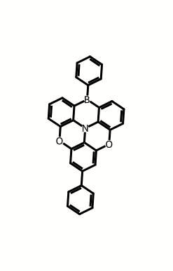 c1ccc(B2c3cccc4c3N3c5c(cc(-c6ccccc6)cc5Oc5cccc2c53)O4)cc1